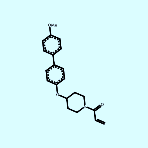 C=CC(=O)N1CCC(Oc2ccc(-c3ccc(OC)cc3)cc2)CC1